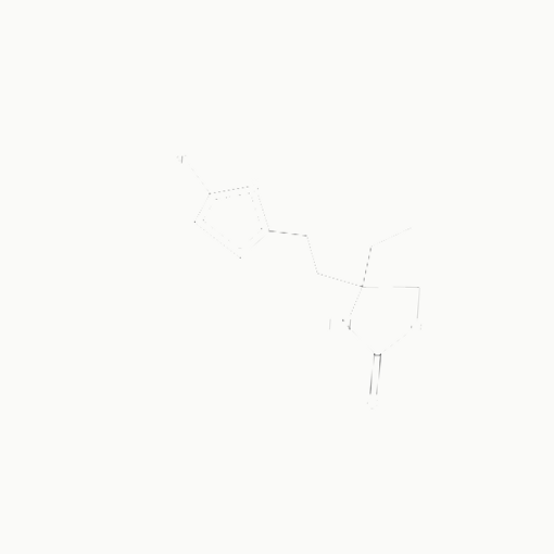 CCC1(CCc2ccc(Br)s2)COC(=O)N1